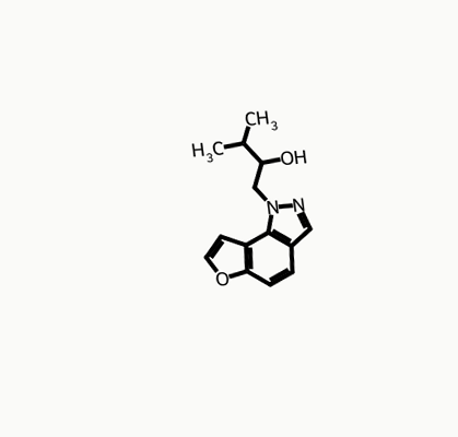 CC(C)C(O)Cn1ncc2ccc3occc3c21